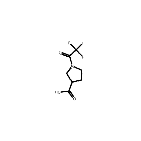 O=C(O)C1CCN(C(=O)C(F)(F)F)C1